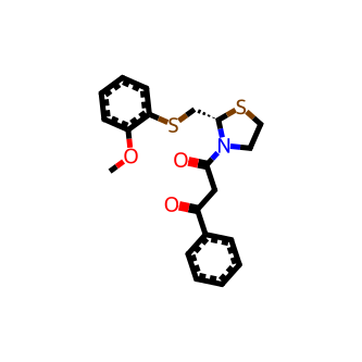 COc1ccccc1SC[C@@H]1SCCN1C(=O)CC(=O)c1ccccc1